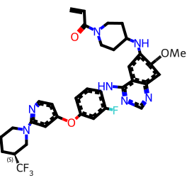 C=CC(=O)N1CCC(Nc2cc3c(Nc4ccc(Oc5ccnc(N6CCC[C@H](C(F)(F)F)C6)c5)cc4F)ncnc3cc2OC)CC1